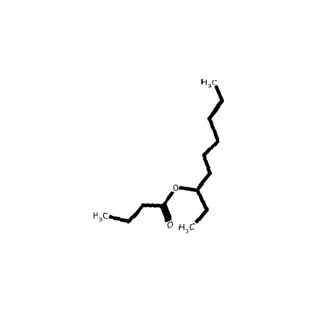 CCCCCCC(CC)OC(=O)CCC